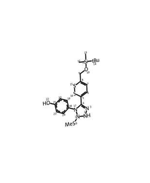 CSN1NN=C(C2=CC=C(CO[Si](C)(C)C(C)(C)C)SS2)N1c1ccc(O)cc1